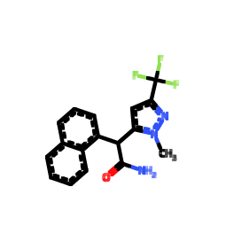 Cn1nc(C(F)(F)F)cc1C(C(N)=O)c1cccc2ccccc12